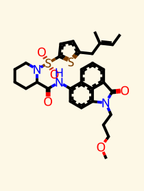 C/C=C(\C)Cc1ccc(S(=O)(=O)N2CCCCC2C(=O)Nc2ccc3c4c(cccc24)C(=O)N3CCCOC)s1